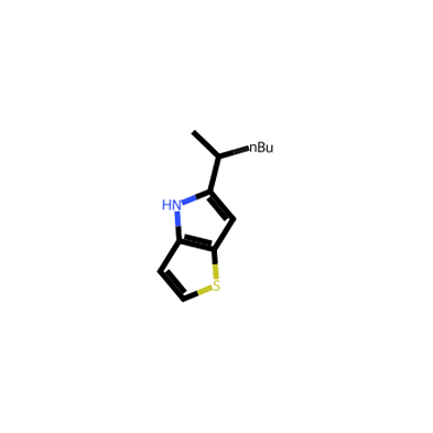 CCCCC(C)c1cc2sccc2[nH]1